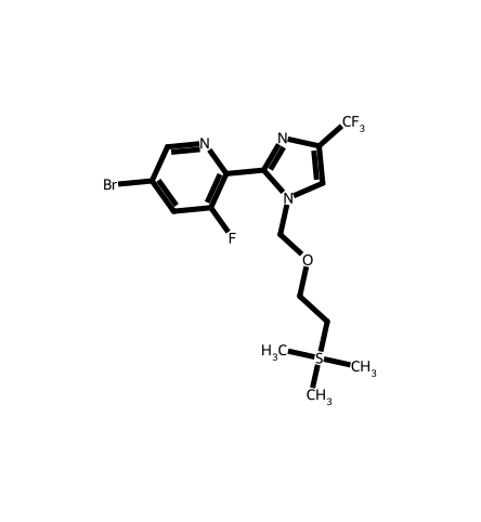 CS(C)(C)CCOCn1cc(C(F)(F)F)nc1-c1ncc(Br)cc1F